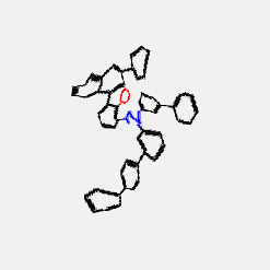 c1ccc(-c2ccc(-c3cccc(N(c4cccc(-c5ccccc5)c4)c4cccc5c4oc4c(-c6ccccc6)cc6ccccc6c45)c3)cc2)cc1